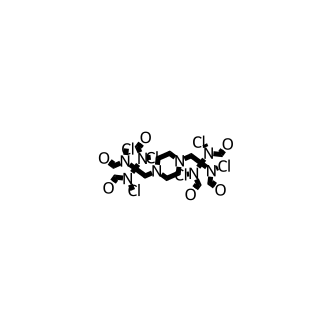 O=CN(Cl)C(CN1CCN(CC(N(Cl)C=O)(N(Cl)C=O)N(Cl)C=O)CC1)(N(Cl)C=O)N(Cl)C=O